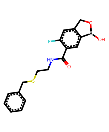 O=C(NCCSCc1ccccc1)c1cc2c(cc1F)COB2O